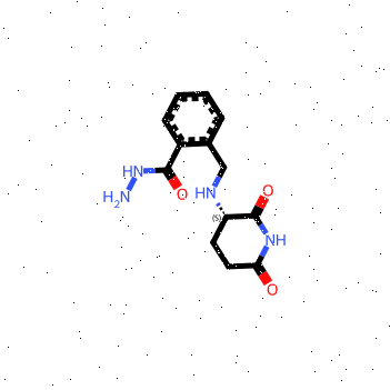 NNC(=O)c1ccccc1CN[C@H]1CCC(=O)NC1=O